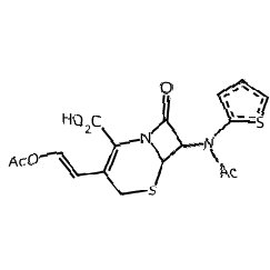 CC(=O)OC=CC1=C(C(=O)O)N2C(=O)C(N(C(C)=O)c3cccs3)C2SC1